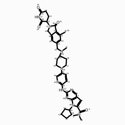 CN(C)C(=O)c1cc2cnc(Nc3ccc(N4CCC(N(C)Cc5cc(F)c6c(c5)CN(C5CCC(=O)NC5=O)C6=O)CC4)cn3)nc2n1C1CCCC1